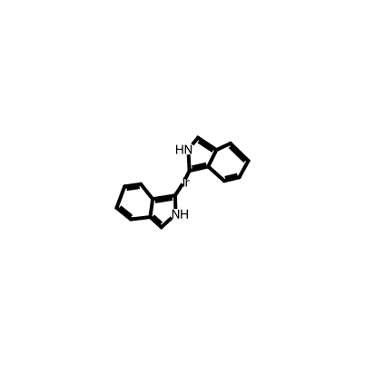 c1ccc2[c]([Ir][c]3[nH]cc4ccccc34)[nH]cc2c1